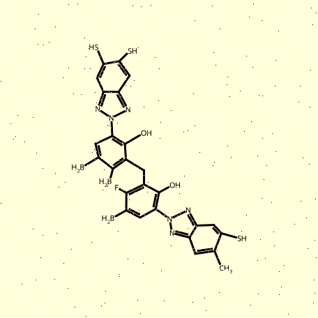 Bc1cc(-n2nc3cc(S)c(S)cc3n2)c(O)c(Cc2c(O)c(-n3nc4cc(C)c(S)cc4n3)cc(B)c2F)c1B